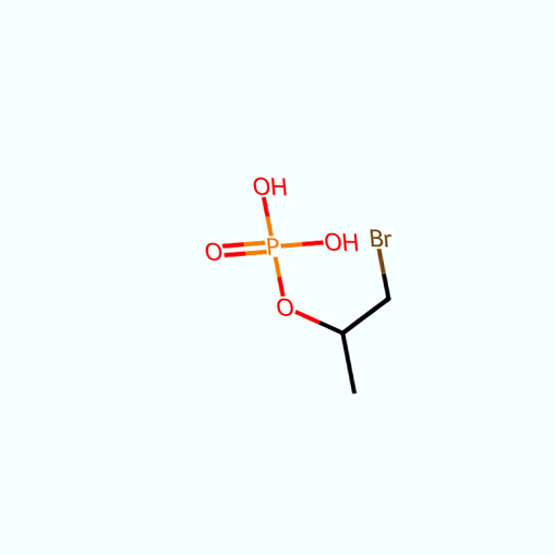 CC(CBr)OP(=O)(O)O